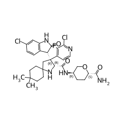 CC1(C)CCC2(CC1)C[C@](c1ccnc(Cl)c1F)(C1C(=O)Nc3cc(Cl)ccc31)[C@H](C(=O)N[C@@H]1CC[C@@H](C(N)=O)OC1)N2